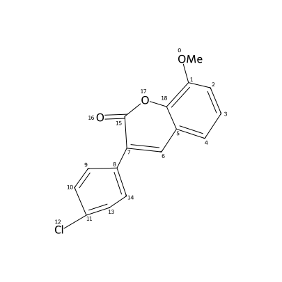 COc1cccc2cc(-c3ccc(Cl)cc3)c(=O)oc12